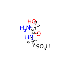 CC(C)(CS(=O)(=O)O)NC(=O)[C@@H](N)CO